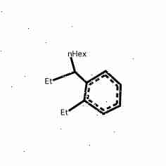 CCCCCC[C](CC)c1ccccc1CC